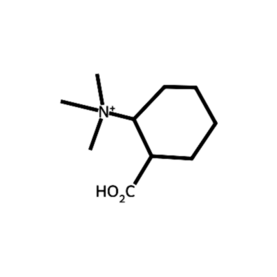 C[N+](C)(C)C1CCCCC1C(=O)O